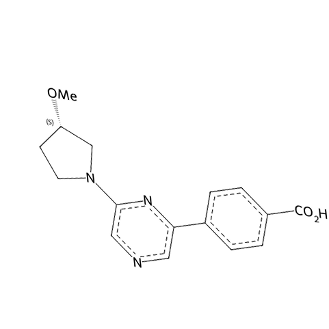 CO[C@H]1CCN(c2cncc(-c3ccc(C(=O)O)cc3)n2)C1